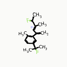 C=C(/C=C(\C)C(C)F)c1cc(C(C)(C)F)ccc1C